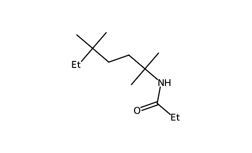 CCC(=O)NC(C)(C)CCC(C)(C)CC